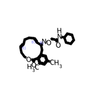 Cc1cc(C)c2c(c1)CC(=N\OCC(=O)NC1CCCCC1)/C=C/CC/C=C/CCOC2=O